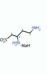 NCCC(N)CS(=O)(=O)O.[NaH]